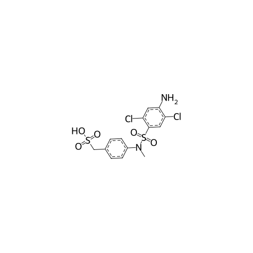 CN(c1ccc(CS(=O)(=O)O)cc1)S(=O)(=O)c1cc(Cl)c(N)cc1Cl